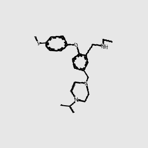 CCNCc1cc(CN2CCN(C(C)C)CC2)ccc1Oc1ccc(SC)cc1